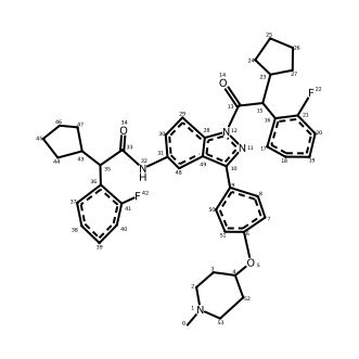 CN1CCC(Oc2ccc(-c3nn(C(=O)C(c4ccccc4F)C4CCCC4)c4ccc(NC(=O)C(c5ccccc5F)C5CCCC5)cc34)cc2)CC1